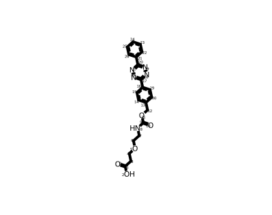 O=C(O)CCOCCNC(=O)OCc1ccc(-c2nnc(-c3ccccc3)nn2)cc1